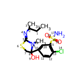 CCC(C)N=C1SCC(O)(c2ccc(Cl)c(S(N)(=O)=O)c2)N1C